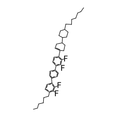 CCCCCCCC1CCC(C2CC=C(c3ccc(-c4ccc(-c5ccc(CCCCCC)c(F)c5F)cc4)c(F)c3F)CC2)CC1